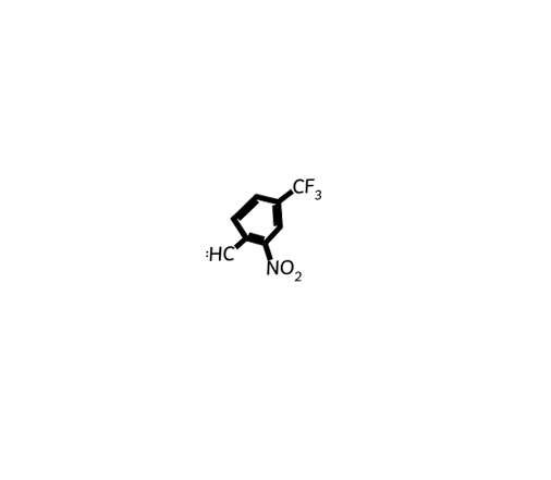 [CH]c1ccc(C(F)(F)F)cc1[N+](=O)[O-]